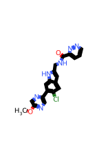 COc1cnc(-c2cc3[nH]c(CNC(=O)c4cccnn4)cc3cc2Cl)cn1